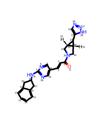 O=C(/C=C/c1cnc(NC2Cc3ccccc3C2)nc1)N1C[C@@H]2C(c3cnn[nH]3)[C@@H]2C1